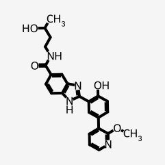 COc1ncccc1-c1ccc(O)c(-c2nc3cc(C(=O)NCCC(C)O)ccc3[nH]2)c1